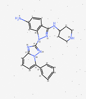 Nc1ccc2c(NC3CCNCC3)nn(-c3nc4cccc(-c5ccccc5)n4n3)c2c1